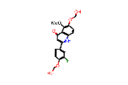 COc1c(OCO)ccc2[nH]c(-c3ccc(OCO)c(F)c3)cc(=O)c12